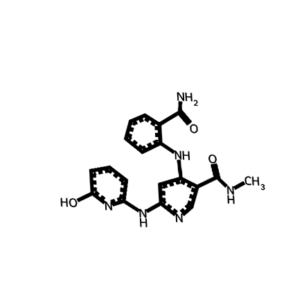 CNC(=O)c1cnc(Nc2cccc(O)n2)cc1Nc1ccccc1C(N)=O